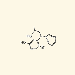 CC(O)CC(c1cccnc1)c1cc(O)ccc1Br